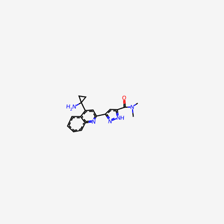 CN(C)C(=O)c1cc(-c2cc(C3(N)CC3)c3ccccc3n2)n[nH]1